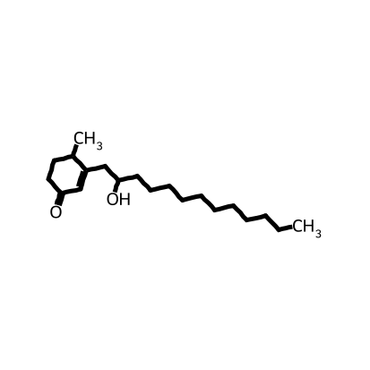 CCCCCCCCCCCC(O)CC1=CC(=O)CCC1C